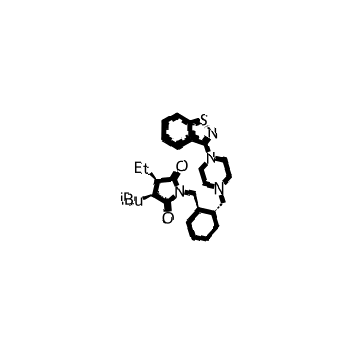 CCC(C)[C@@H]1C(=O)N(C[C@@H]2CCCC[C@H]2CN2CCN(c3nsc4ccccc34)CC2)C(=O)[C@@H]1CC